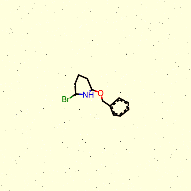 BrC1CCCC(OCc2ccccc2)N1